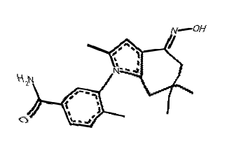 Cc1ccc(C(N)=O)cc1-n1c(C)cc2c1CC(C)(C)CC2=NO